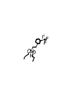 CCCO[SiH](CCc1cccc(C(F)(F)F)c1)OCCC